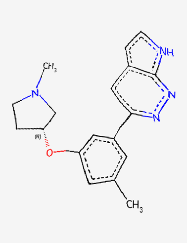 Cc1cc(O[C@@H]2CCN(C)C2)cc(-c2cc3cc[nH]c3nn2)c1